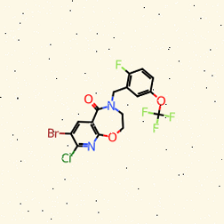 O=C1c2cc(Br)c(Cl)nc2OCCN1Cc1cc(OC(F)(F)F)ccc1F